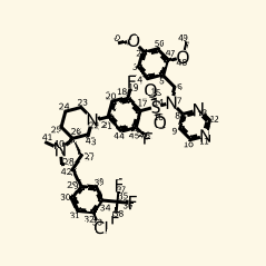 COc1ccc(CN(c2ccncn2)S(=O)(=O)c2c(F)cc(N3CCC[C@@](CCc4ccc(Cl)c(C(F)(F)F)c4)(N(C)C)C3)cc2F)c(OC)c1